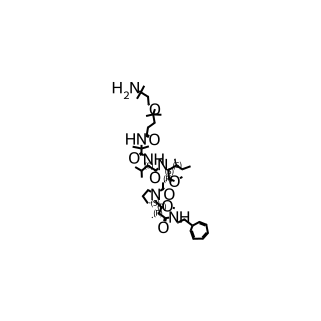 CC[C@H](C)[C@@H]([C@@H](CC(=O)N1CCC[C@H]1[C@H](OC)[C@@H](C)C(=O)NCCC1C=CC=CC=C1)OC)N(C)C(=O)[C@@H](NC(=O)C(C)(C)NC(=O)CCC(C)(C)OCCC(C)(C)N)C(C)C